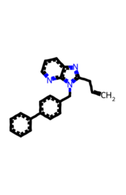 C=CCc1nc2cccnc2n1Cc1ccc(-c2ccccc2)cc1